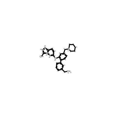 CCc1cccc(-c2ccc(CN3CCCCC3)cc2Oc2ccc3nnc(Cl)n3n2)c1